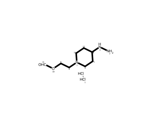 Cl.Cl.NNC1CCN(CCOC=O)CC1